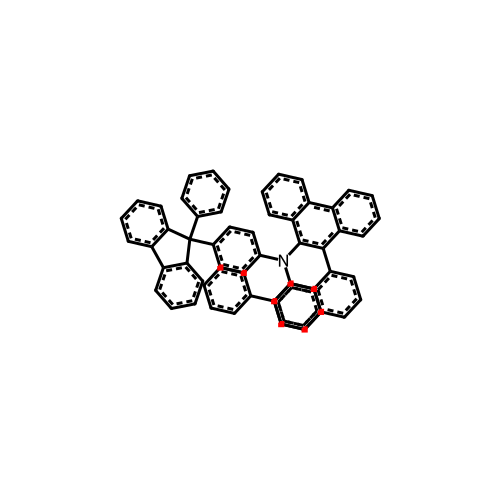 c1ccc(-c2ccccc2N(c2ccc(C3(c4ccccc4)c4ccccc4-c4ccccc43)cc2)c2c(-c3cccc4ccccc34)c3ccccc3c3ccccc23)cc1